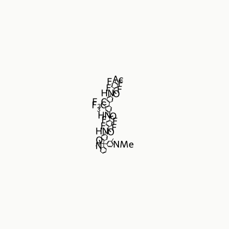 CNc1ccc(C2(c3ccc(NC(=O)c4c(F)c(F)c(C(=O)Nc5ccc(-c6ccc(NC(=O)c7c(F)c(F)c(C(C)=O)c(F)c7F)cc6C(F)(F)F)c(C(F)(F)F)c5)c(F)c4F)cc3)C(=O)N(C)c3ccccc32)cc1C